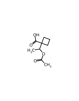 CC(=O)OC(C)C1(C(=O)O)CCC1